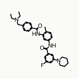 CCN(CC)Cc1ccc(C(=O)Nc2cc(NC(=O)c3cc(F)cc(N4CCCCC4)c3)ccc2C)cc1